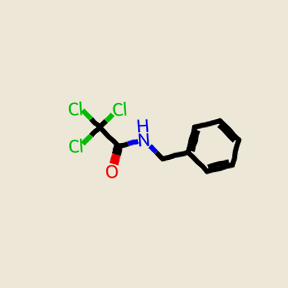 O=C(NCc1ccccc1)C(Cl)(Cl)Cl